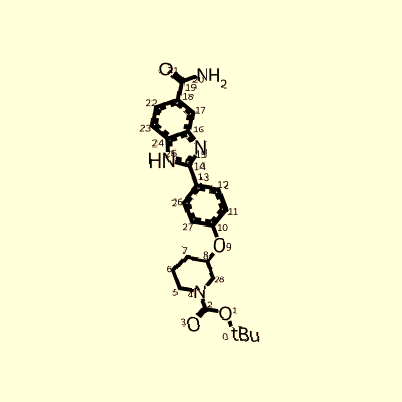 CC(C)(C)OC(=O)N1CCCC(Oc2ccc(-c3nc4cc(C(N)=O)ccc4[nH]3)cc2)C1